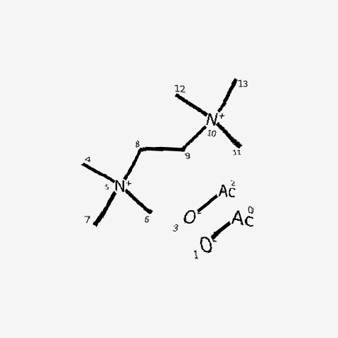 CC(=O)[O-].CC(=O)[O-].C[N+](C)(C)CC[N+](C)(C)C